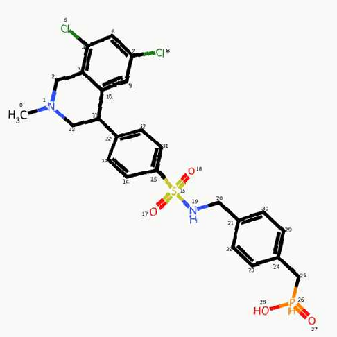 CN1Cc2c(Cl)cc(Cl)cc2C(c2ccc(S(=O)(=O)NCc3ccc(C[PH](=O)O)cc3)cc2)C1